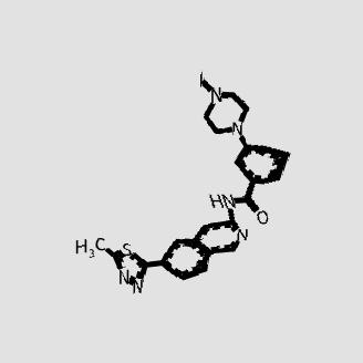 Cc1nnc(-c2ccc3cnc(NC(=O)c4cccc(N5CCN(I)CC5)c4)cc3c2)s1